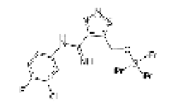 CC(C)[Si](OCc1snnc1C(=N)Nc1ccc(F)c(Cl)c1)(C(C)C)C(C)C